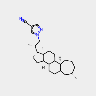 C[C@H]1CCC[C@H]2C(CC[C@@H]3C2CC[C@@]2(C)C3CC[C@@H]2[C@H](C)Cn2cc(C#N)cn2)C1